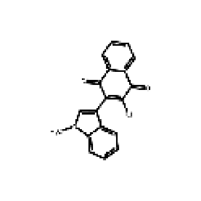 Cn1cc(C2=C(Cl)C(=O)c3ccccc3C2=O)c2ccccc21